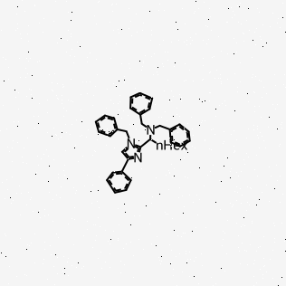 CCCCCCC(c1nc(-c2ccccc2)cn1Cc1ccccc1)N(Cc1ccccc1)Cc1ccccc1